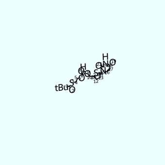 CC(C)(C)C(=O)SCCO[PH](=O)OC[C@@H]1CC[C@H](n2ccc(=O)[nH]c2=O)S1